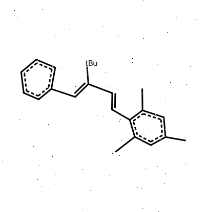 Cc1cc(C)c(C=CC(=Cc2ccccc2)C(C)(C)C)c(C)c1